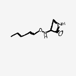 CCCCCONC1CNC1=O